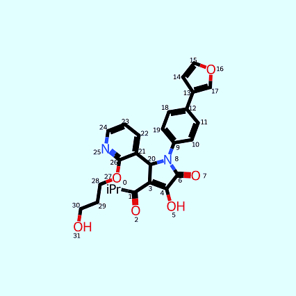 CC(C)C(=O)C1=C(O)C(=O)N(c2ccc(-c3ccoc3)cc2)C1c1cccnc1OCCCO